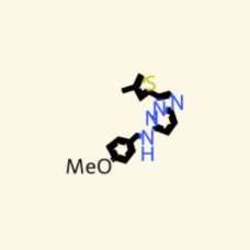 COc1ccc(CNc2ccc3ncc(-c4cc(C)cs4)n3n2)cc1